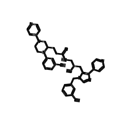 O=C(CCC1CN(c2ccncc2)CCN1c1cccc(O)c1)NCC(O)Cc1c(-c2ccncc2)ncn1Cc1cccc(O)c1